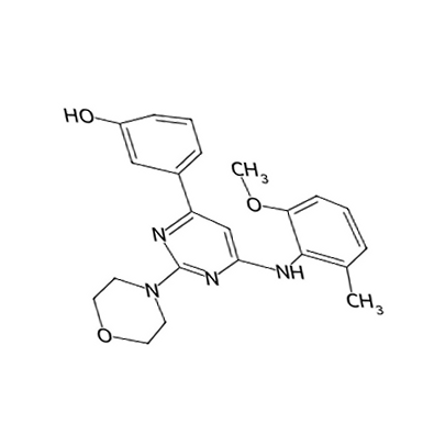 COc1cccc(C)c1Nc1cc(-c2cccc(O)c2)nc(N2CCOCC2)n1